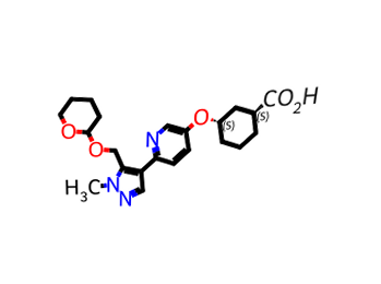 Cn1ncc(-c2ccc(O[C@H]3CCC[C@H](C(=O)O)C3)cn2)c1COC1CCCCO1